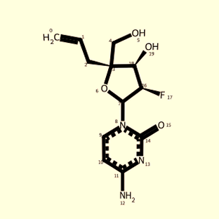 C=CC[C@]1(CO)OC(n2ccc(N)nc2=O)[C@H](F)[C@@H]1O